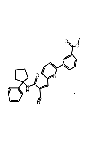 COC(=O)c1cccc(-c2cccc(C=C(C#N)C(=O)NC3(c4ccccc4)CCCC3)n2)c1